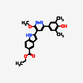 CCOC(=O)c1ccc2[nH]c(-c3cc(-c4cc(C)c(O)c(C)c4)nnc3OC)cc2c1